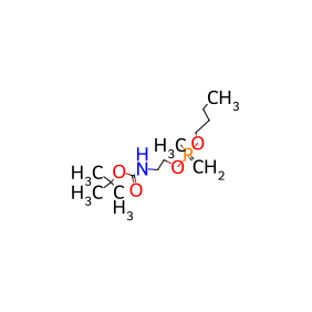 C=P(C)(OCCCC)OCCNC(=O)OC(C)(C)C